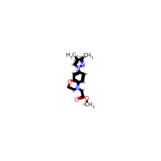 COC(=O)CN1CCOc2cc(-n3cc(C)c(C)n3)ccc21